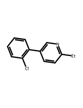 CCc1ccc(-c2ccc[c]c2Cl)cn1